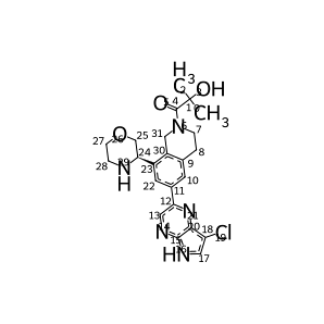 CC(C)(O)C(=O)N1CCc2cc(-c3cnc4[nH]cc(Cl)c4n3)cc([C@@H]3COCCN3)c2C1